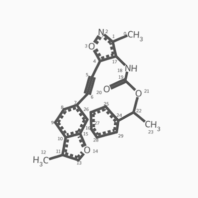 Cc1noc(C#Cc2ccc3c(C)coc3c2)c1NC(=O)OC(C)c1ccccc1